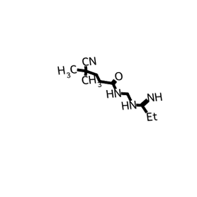 CCC(=N)NCNC(=O)CCC(C)(C)C#N